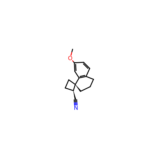 COc1ccc2c(c1)[C@@]1(CCC2)CC[C@@H]1C#N